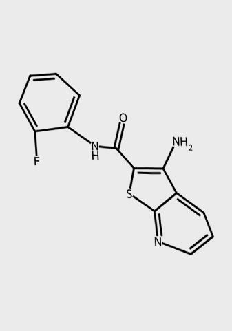 Nc1c(C(=O)Nc2ccccc2F)sc2ncccc12